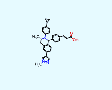 C[C@H]1Cc2cc(-c3cnn(C)c3)ccc2[C@H](c2ccc(/C=C/C(=O)O)cc2)N1c1ccc(C2CC2)cc1